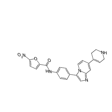 O=C(Nc1ccc(-c2cnc3cc(C4=CCNCC4)ccn23)cc1)c1ccc([N+](=O)[O-])o1